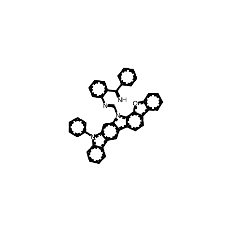 N=C(c1ccccc1)c1ccccc1/N=C/n1c2cc3c(cc2c2ccc4c5ccccc5oc4c21)c1ccccc1n3-c1ccccc1